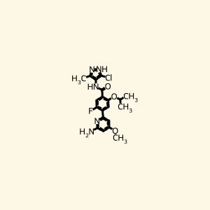 COc1cc(N)nc(-c2cc(OC(C)C)c(C(=O)Nc3c(C)n[nH]c3Cl)cc2F)c1